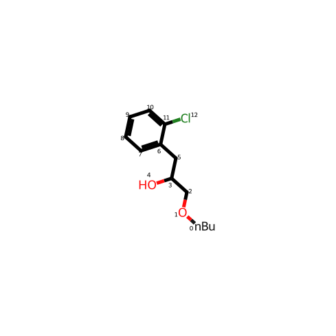 CCCCOCC(O)Cc1ccccc1Cl